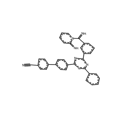 N#Cc1ccc(-c2ccc(-c3nc(-c4ccccc4)nc(-c4cccc(C(=N)n5ccccc5=N)c4)n3)cc2)cc1